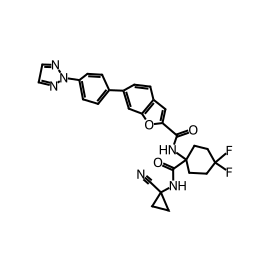 N#CC1(NC(=O)C2(NC(=O)c3cc4ccc(-c5ccc(-n6nccn6)cc5)cc4o3)CCC(F)(F)CC2)CC1